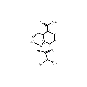 CCCCOC1[C@@H](C(=O)OC)CC[C@H](/N=C(\OC)N(C)C)[C@H]1OCCCC